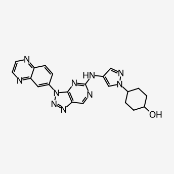 OC1CCC(n2cc(Nc3ncc4nnn(-c5ccc6nccnc6c5)c4n3)cn2)CC1